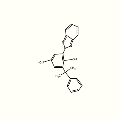 CCCCCCCCc1cc(-n2nc3ccccc3n2)c(O)c(C(C)(C)c2ccccc2)c1